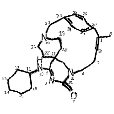 C/C1=C/CCN2C(=O)N=C(NC3CCCCC3)C23CCN(CC3)Cc2ccc1cc2